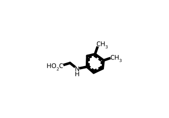 Cc1ccc(NCC(=O)O)cc1C